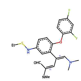 CCSNc1ccc(Oc2ccc(F)cc2F)c(C(/C=C(\C=O)NC)=C/N(C)C)c1